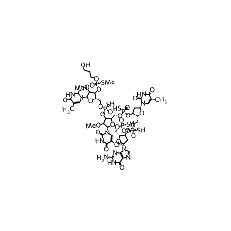 COC1C(OP(=O)(OCCCO)SC)[C@@H](COP(=O)(S)OC2C(OC)[C@H](n3cc(C)c(=O)[nH]c3=O)O[C@@H]2COP(=O)(S)OC2C[C@H](n3cc(C)c(=O)[nH]c3=O)O[C@@H]2COP(=O)(S)OC2C[C@H](n3cnc4c(=O)[nH]c(N)nc43)O[C@@H]2COP(=O)(S)OC)O[C@H]1N1C=C(C)C(=O)NC1O